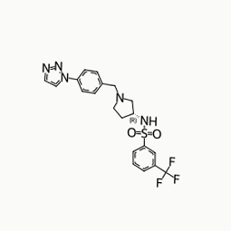 O=S(=O)(N[C@@H]1CCN(Cc2ccc(-n3ccnn3)cc2)C1)c1cccc(C(F)(F)F)c1